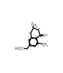 Cc1cc(CC(=O)O)cc2c1C(=O)CC(C)C2